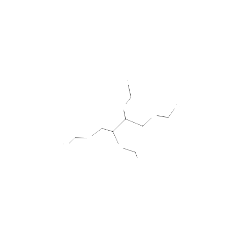 CC(=O)COCC(OCC=O)C(COCC(C)=O)OCC(C)=O